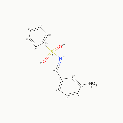 O=[N+]([O-])c1cccc(C=NS(=O)(=O)c2ccccc2)c1